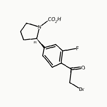 O=C(CBr)c1ccc([C@H]2CCCN2C(=O)O)cc1F